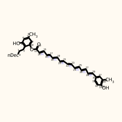 CCCCCCCCCCCCc1c(O)cc(C)cc1OC(=O)/C=C/C=C/C=C/C=C/C=C/C=C/C=C/C=C/c1ccc(O)c(C)c1